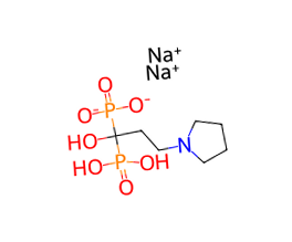 O=P([O-])([O-])C(O)(CCN1CCCC1)P(=O)(O)O.[Na+].[Na+]